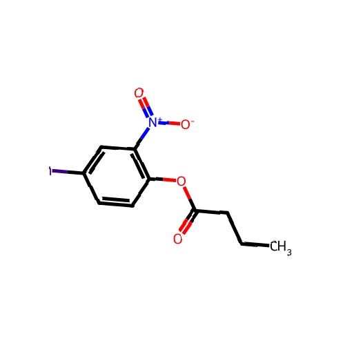 CCCC(=O)Oc1ccc(I)cc1[N+](=O)[O-]